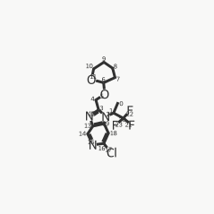 CC(n1c(COC2CCCCO2)nc2cnc(Cl)cc21)C(F)(F)F